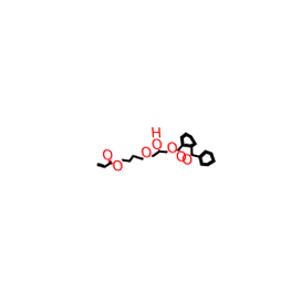 C=CC(=O)OCCCCOCC(O)COC(=O)c1ccccc1C(=O)c1ccccc1